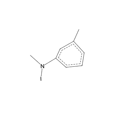 Cc1cccc(N(C)I)c1